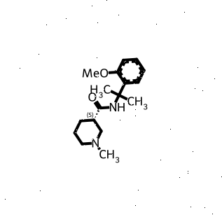 COc1ccccc1C(C)(C)NC(=O)[C@H]1CCCN(C)C1